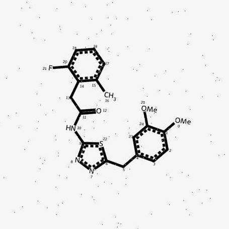 COc1ccc(Cc2nnc(NC(=O)Cc3c(C)cccc3F)s2)cc1OC